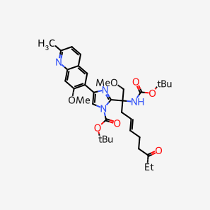 CCC(=O)CC/C=C/CC(COC)(NC(=O)OC(C)(C)C)c1nc(-c2cc3ccc(C)nc3cc2OC)cn1C(=O)OC(C)(C)C